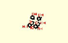 Cc1cc([C@H]2Oc3c(c(O)cc(O)c3[C@H]3C[C@@H](c4ccc(O)cc4)Oc4cc(O)ccc43)C[C@@H]2O)ccc1O